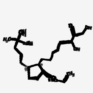 C=CO.CCCCC(C)(O)CCC[C@H]1CCC(=O)[C@@H]1CCCCC=C(O)C(=O)CO